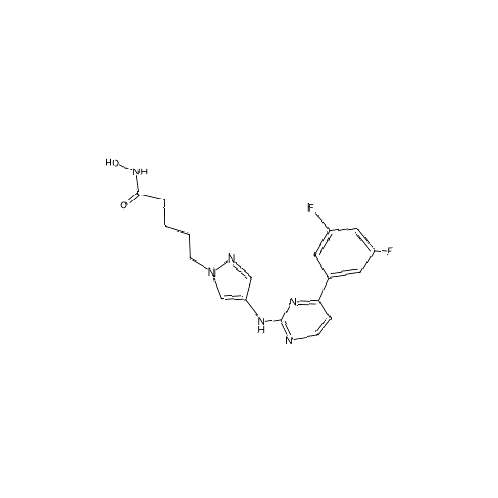 O=C(CCCCn1cc(Nc2nccc(-c3cc(F)cc(F)c3)n2)cn1)NO